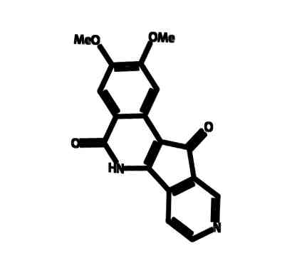 COc1cc2c3c([nH]c(=O)c2cc1OC)-c1ccncc1C3=O